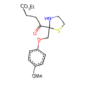 CCOC(=O)CCC(=O)C1(COc2ccc(OC)cc2)NCCS1